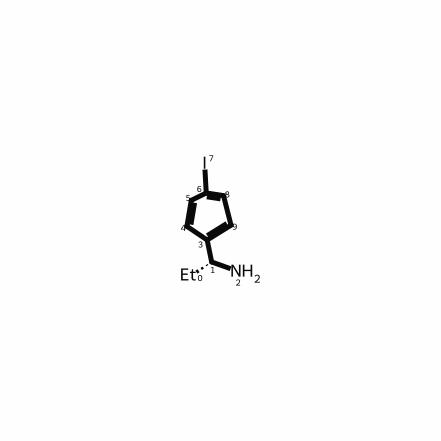 CC[C@@H](N)c1ccc(I)cc1